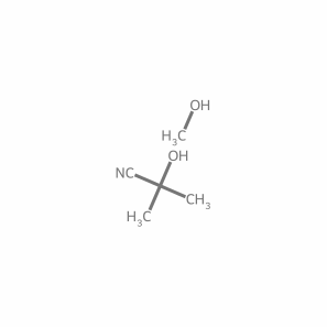 CC(C)(O)C#N.CO